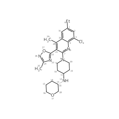 CCc1cc(Cl)c2nc(N3CCC(N[C@H]4CCCOC4)CC3)c(-c3nc(C)no3)c(C)c2c1